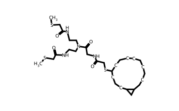 CSCC(=O)NCCN(CCNC(=O)CSC)C(=O)CNC(=O)CSC1CCCCCCCCCC2CC2CCC1